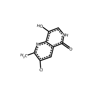 Cc1nc2c(O)c[nH]c(=O)c2cc1Cl